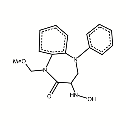 COCN1C(=O)C(NO)CN(c2ccccc2)c2ccccc21